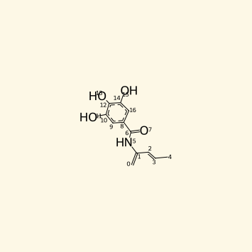 C=C(C=CC)NC(=O)c1cc(O)c(O)c(O)c1